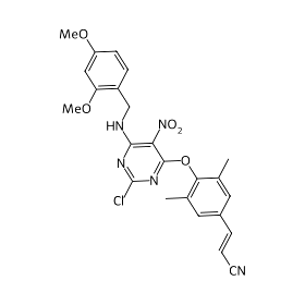 COc1ccc(CNc2nc(Cl)nc(Oc3c(C)cc(C=CC#N)cc3C)c2[N+](=O)[O-])c(OC)c1